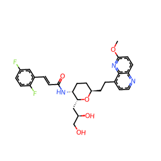 COc1ccc2nccc(CC[C@@H]3CC[C@@H](NC(=O)/C=C/c4cc(F)ccc4F)[C@@H](C[C@@H](O)CO)O3)c2n1